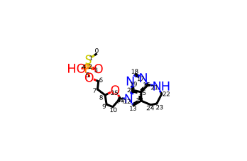 CSP(=O)(O)OCCC1CC[C@H](n2cc3c4c(ncnc42)NCCC3)O1